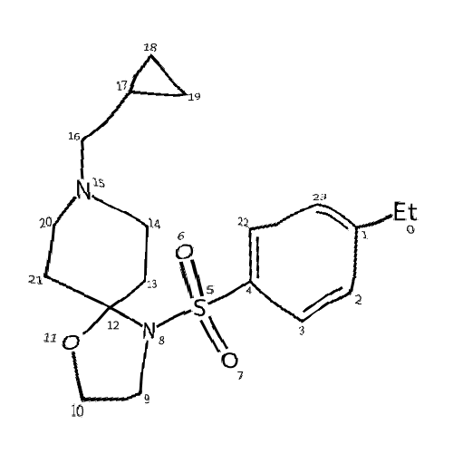 CCc1ccc(S(=O)(=O)N2CCOC23CCN(CC2CC2)CC3)cc1